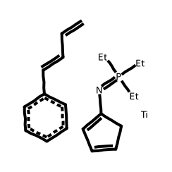 C=CC=Cc1ccccc1.CCP(CC)(CC)=NC1=CC=CC1.[Ti]